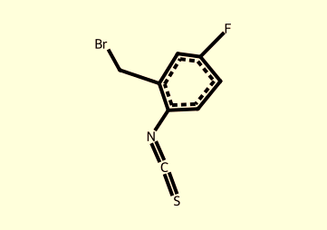 Fc1ccc(N=C=S)c(CBr)c1